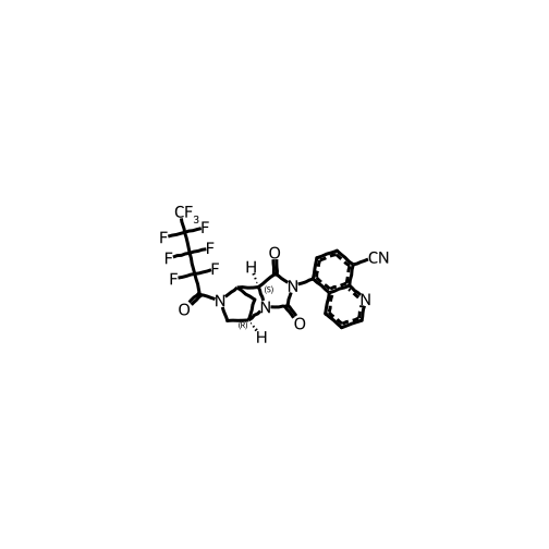 N#Cc1ccc(N2C(=O)[C@@H]3C4C[C@H](CN4C(=O)C(F)(F)C(F)(F)C(F)(F)C(F)(F)F)N3C2=O)c2cccnc12